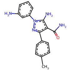 Cc1ccc(-c2nn(-c3cccc(N)c3)c(N)c2C(N)=O)cc1